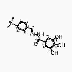 CN(C)c1ccc(C=NNC(=O)c2cc(O)c(O)c(O)c2)cc1